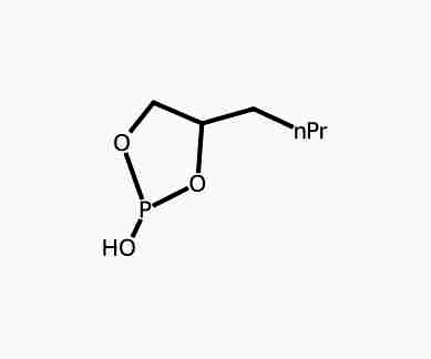 CCCCC1COP(O)O1